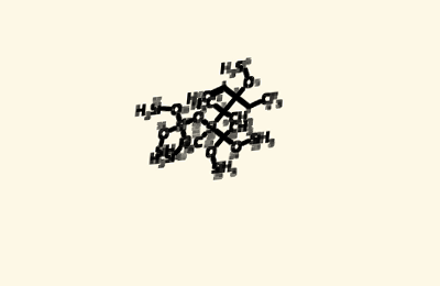 C=CC(CC(F)(F)F)(O[SiH3])C(C)(C)[Si](C)(O[Si](O[SiH3])(O[SiH3])O[SiH3])C(C)(O[SiH3])O[SiH3]